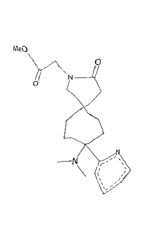 COC(=O)CN1CC2(CCC(c3ccccn3)(N(C)C)CC2)CC1=O